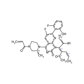 C=CC(=O)N1CCN(c2nc(=O)n(/C(C(=C)C(C)C)=C(/C=C\C)[S+](C)[O-])c3nc(-c4c(O)cccc4F)c(F)cc23)[C@@H](C)C1